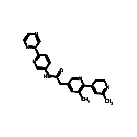 Cc1cc(-c2ncc(CC(=O)Nc3ccc(-c4cnccn4)nc3)cc2C)ccn1